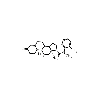 CN(C(=O)[C@H]1CCC2C3CCC4=CC(=O)CC[C@]4(C)C3CC[C@@]21C)c1ccccc1C(F)(F)F